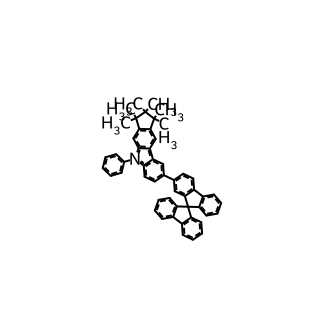 CC1(C)c2cc3c4cc(-c5ccc6c(c5)C5(c7ccccc7-c7ccccc75)c5ccccc5-6)ccc4n(-c4ccccc4)c3cc2C(C)(C)C1(C)C